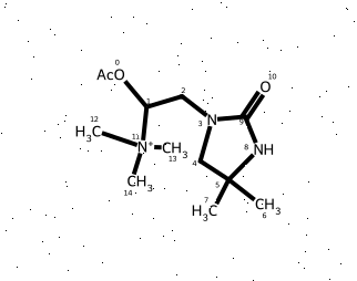 CC(=O)OC(CN1CC(C)(C)NC1=O)[N+](C)(C)C